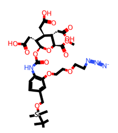 COC(=O)[C@H]1O[C@@H](OC(=O)Nc2ccc(CO[Si](C)(C)C(C)(C)C)cc2OCCOCCN=[N+]=[N-])[C@H](CC(=O)O)[C@@H](CC(=O)O)[C@@H]1CC(=O)O